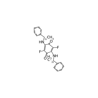 C[C@H](NC1=C(F)C(=O)C(N[C@@H](C)c2ccccc2)=C(F)C1=O)c1ccccc1